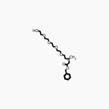 CN(CCOCCOCCOCCOCCO)CC(=O)OCc1ccccc1